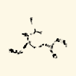 NC(=O)CC[C@H](NC(F)F)C(=O)O